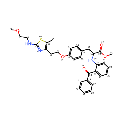 COCCNc1nc(CCOc2ccc(C[C@H](Nc3ccccc3C(=O)c3ccccc3)C(=O)OC)cc2)c(C)s1